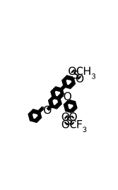 CS(=O)(=O)c1ccc(-c2ccc3cc(OCc4ccccc4)ccc3c2Oc2ccc(OS(=O)(=O)C(F)(F)F)cc2)cc1